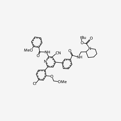 COCOc1cc(Cl)ccc1-c1cc(-c2cccc(C(=O)NCC3CCCCN3C(=O)OC(C)(C)C)c2)c(C#N)c(NC(=O)c2ccccc2OC)n1